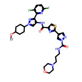 CCOC1CCC(n2cc(NC(=O)c3csc(-c4cnn(C(=O)NCCCN5CCOCC5)c4)n3)c(-c3nc(F)ccc3F)n2)CC1